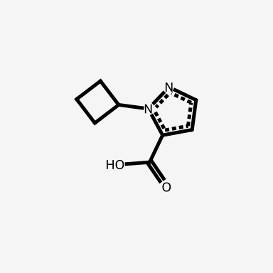 O=C(O)c1ccnn1C1CCC1